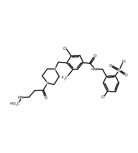 CCS(=O)(=O)c1ccc(Cl)cc1CNC(=O)c1cc(Cl)c(CN2CCN(C(=O)CCNC(=O)O)CC2)c(C(F)(F)F)c1